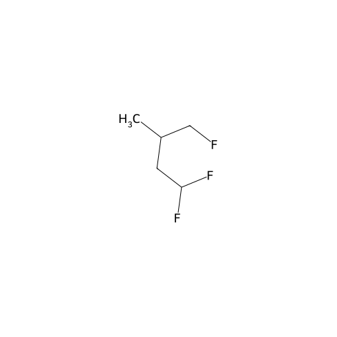 CC(CF)CC(F)F